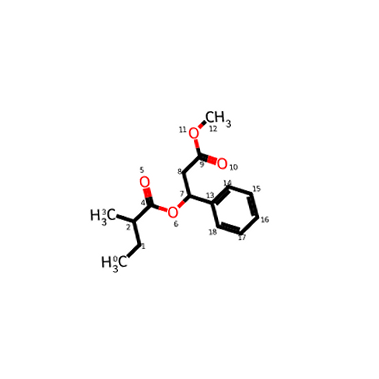 CCC(C)C(=O)OC(CC(=O)OC)c1ccccc1